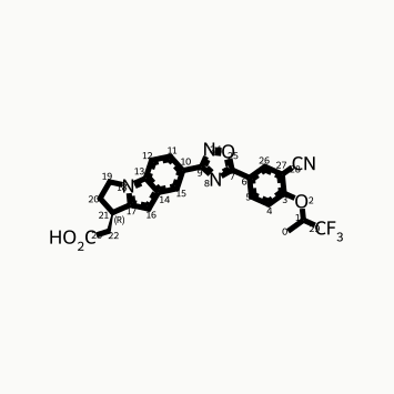 CC(Oc1ccc(-c2nc(-c3ccc4c(c3)cc3n4CC[C@@H]3CC(=O)O)no2)cc1C#N)C(F)(F)F